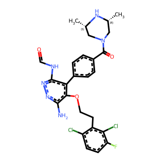 C[C@@H]1CN(C(=O)c2ccc(-c3c(NC=O)nnc(N)c3OCCc3c(Cl)ccc(F)c3Cl)cc2)C[C@H](C)N1